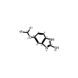 FC(F)Oc1ccc2[nH]c(S)nc2c1